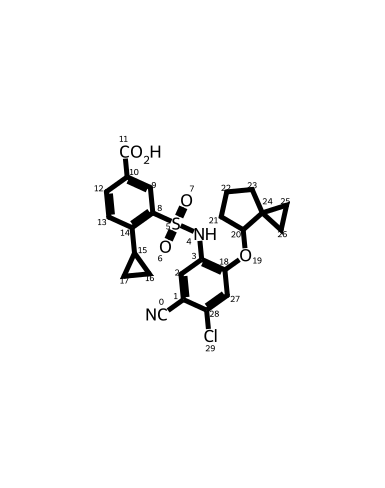 N#Cc1cc(NS(=O)(=O)c2cc(C(=O)O)ccc2C2CC2)c(OC2CCCC23CC3)cc1Cl